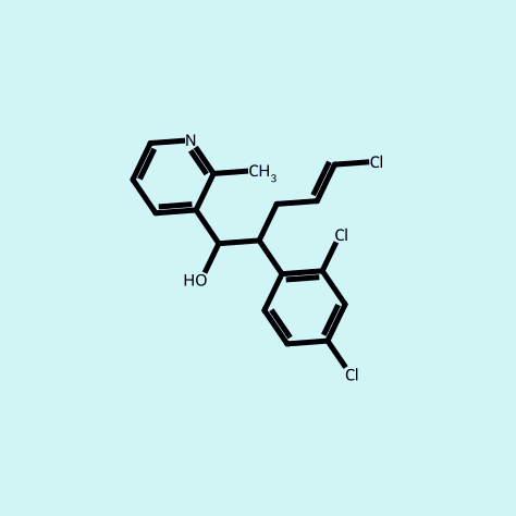 Cc1ncccc1C(O)C(CC=CCl)c1ccc(Cl)cc1Cl